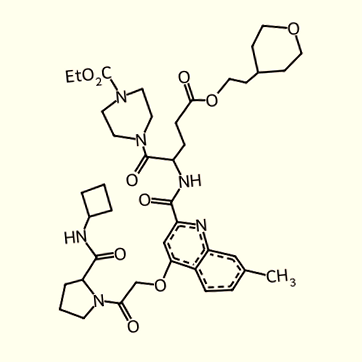 CCOC(=O)N1CCN(C(=O)C(CCC(=O)OCCC2CCOCC2)NC(=O)c2cc(OCC(=O)N3CCCC3C(=O)NC3CCC3)c3ccc(C)cc3n2)CC1